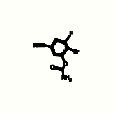 N#Cc1cc(F)c(Br)c(OC(N)=O)c1